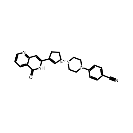 N#Cc1ccc(N2CCN([C@@H]3C=C(c4cc5ncccc5c(=O)[nH]4)CC3)CC2)cc1